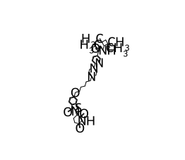 CC1(C)CC(C)(C)C1NC(=O)c1ccc(N2CCN(CCCCCOc3ccc4c(=O)n(C5CCC(=O)NC5=O)sc4c3)CC2)nc1